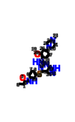 C=CC(=O)Nc1cccc(Sc2nc(Nc3ccc(N4CCN(C)CC4)cc3OC)nc3[nH]ncc23)c1